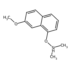 COc1ccc2cccc(O[SiH](C)C)c2c1